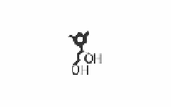 Cc1cc(C)cc([C@H](CO)CCCO)c1